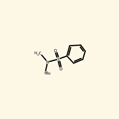 CN(C(C)(C)C)S(=O)(=O)c1ccccc1